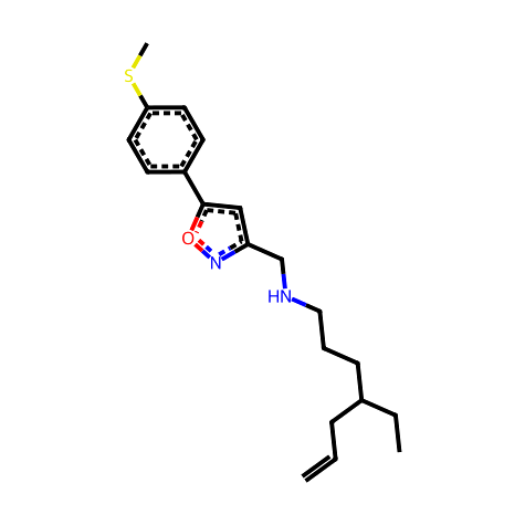 C=CCC(CC)CCCNCc1cc(-c2ccc(SC)cc2)on1